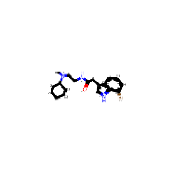 CN(CCNC(=O)Cc1c[nH]c2c(Br)cccc12)C1CCCCC1